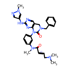 CN(C)C/C=C/C(=O)N(C)c1cccc(N2C(=O)N(Cc3ccccc3)Cc3cnc(Nc4cnn(C)c4)nc32)c1